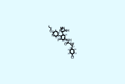 CCOc1ccc(-c2c(F)cc(NC(=O)C3CC3c3ccc(Cl)cc3)cc2-c2nnn[nH]2)cn1